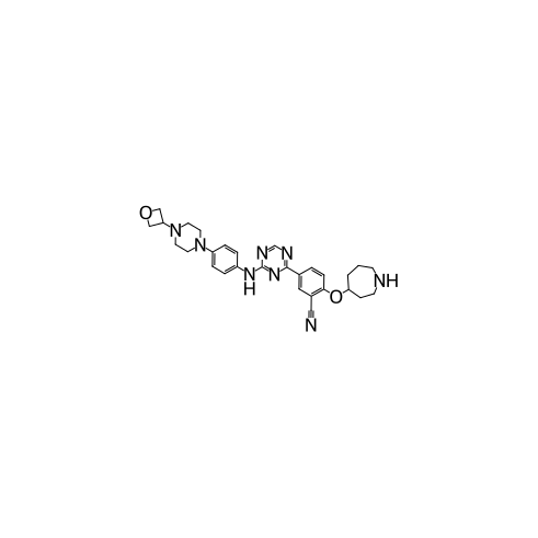 N#Cc1cc(-c2ncnc(Nc3ccc(N4CCN(C5COC5)CC4)cc3)n2)ccc1OC1CCCNCC1